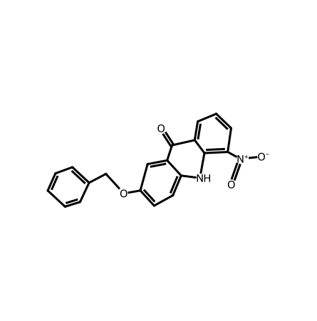 O=c1c2cc(OCc3ccccc3)ccc2[nH]c2c([N+](=O)[O-])cccc12